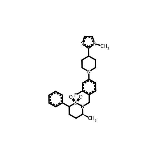 C[C@H]1CCC(c2ccccc2)S(=O)(=O)N1Cc1ccc(N2CCC(c3nccn3C)CC2)cc1F